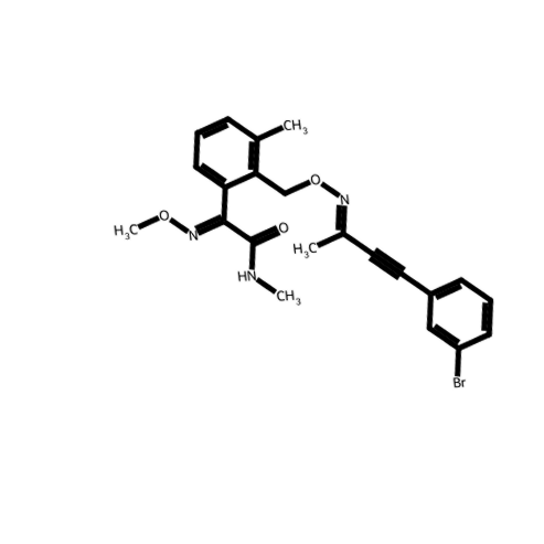 CNC(=O)/C(=N/OC)c1cccc(C)c1CO/N=C(\C)C#Cc1cccc(Br)c1